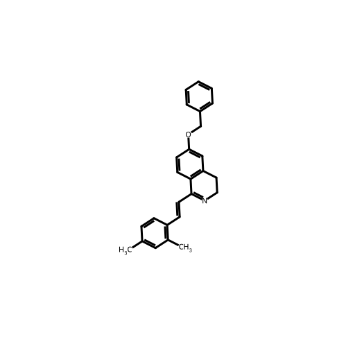 Cc1ccc(C=CC2=NCCc3cc(OCc4ccccc4)ccc32)c(C)c1